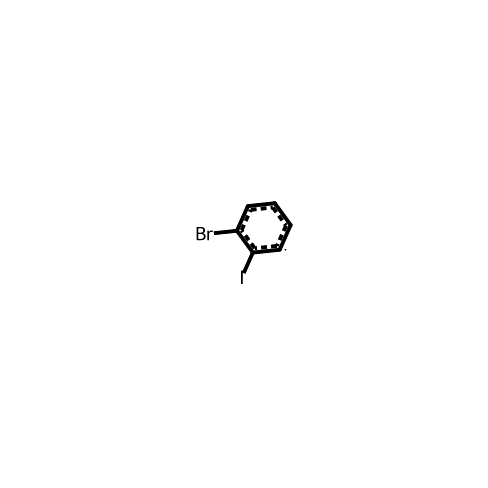 Brc1ccc[c]c1I